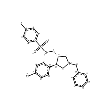 Cc1ccc(S(=O)(=O)OC[C@@H]2CN(Cc3ccccc3)C[C@H]2c2ccc(Cl)cc2)cc1